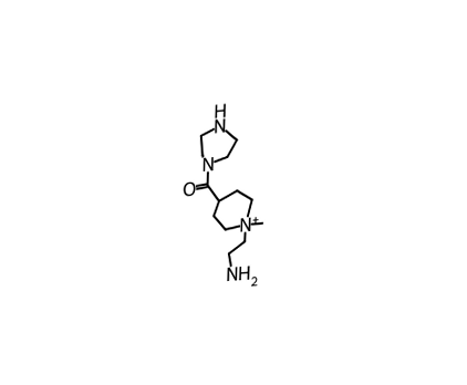 C[N+]1(CCN)CCC(C(=O)N2CCNCC2)CC1